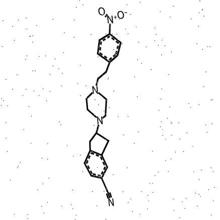 N#Cc1ccc2c(c1)CC(N1CCN(CCc3ccc([N+](=O)[O-])cc3)CC1)C2